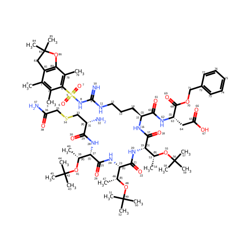 Cc1c(C)c(S(=O)(=O)NC(=N)NCCC[C@H](NC(=O)[C@@H](NC(=O)[C@@H](NC(=O)[C@@H](NC(=O)[C@@H](N)CSCC(N)=O)[C@@H](C)OC(C)(C)C)[C@@H](C)OC(C)(C)C)[C@@H](C)OC(C)(C)C)C(=O)N[C@@H](CC(=O)O)C(=O)OCc2ccccc2)c(C)c2c1CC(C)(C)O2